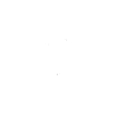 CC(C)CCC(I)[N+](=O)[O-]